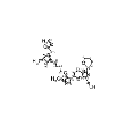 C#Cc1nn(C2CCCCO2)c2ccc(-c3cnn(C)c3OCCOCc3c(I)c(C)nn3CC(=O)OC)cc12